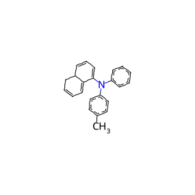 Cc1ccc(N(C2=CC=CC3CC=CC=C23)c2ccccc2)cc1